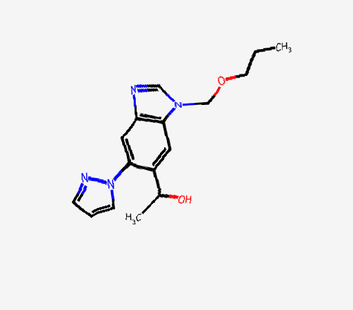 CCCOCn1cnc2cc(-n3cccn3)c(C(C)O)cc21